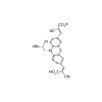 CCCCC(CC)CN1c2ccc(/C=C(/C#N)C(=O)O)cc2Sc2cc(/C=C(\C#N)C(=O)O)ccc21